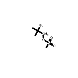 CCC(C)(C)[SiH2]OS(C)(=O)=O